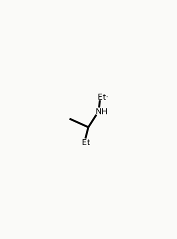 [CH2][CH]NC(C)CC